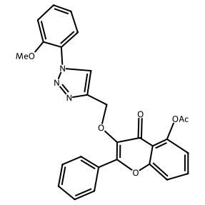 COc1ccccc1-n1cc(COc2c(-c3ccccc3)oc3cccc(OC(C)=O)c3c2=O)nn1